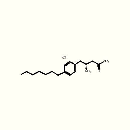 CCCCCCCc1ccc(C[C@H](N)CC(N)=O)cc1.Cl